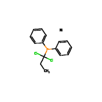 CCC(Cl)(Cl)P(c1ccccc1)c1ccccc1.[Ni]